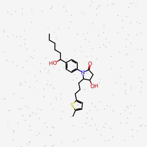 CCCCCC(O)c1ccc(N2C(=O)CC(O)C2CCCc2ccc(C)s2)cc1